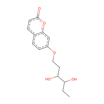 CCC(O)C(O)CCOc1ccc2ccc(=O)oc2c1